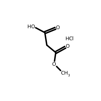 COC(=O)CC(=O)O.Cl